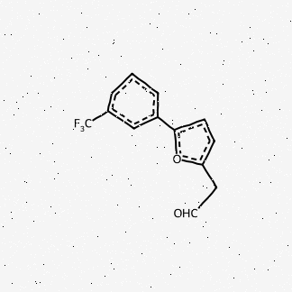 O=CCc1ccc(-c2cccc(C(F)(F)F)c2)o1